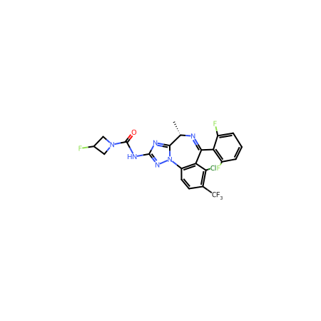 C[C@@H]1N=C(c2c(F)cccc2F)c2c(ccc(C(F)(F)F)c2Cl)-n2nc(NC(=O)N3CC(F)C3)nc21